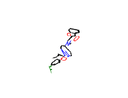 CCCC(Oc1ccc(F)cc1)N1CCC(N(C)C=C2Oc3ccccc3C2=O)CC1